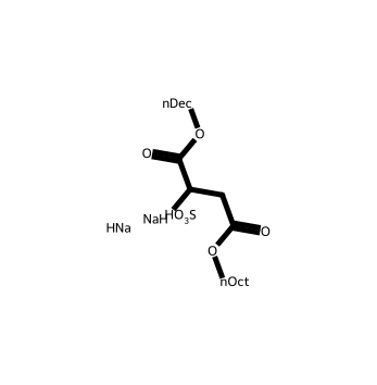 CCCCCCCCCCOC(=O)C(CC(=O)OCCCCCCCC)S(=O)(=O)O.[NaH].[NaH]